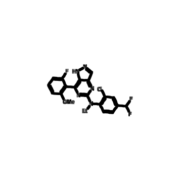 CCN(c1nc(-c2c(F)cccc2OC)c2[nH]ncc2n1)c1ccc(C(F)F)cc1Cl